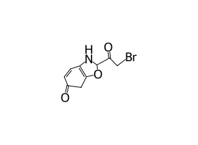 O=C1C=CC2=C(C1)OC(C(=O)CBr)N2